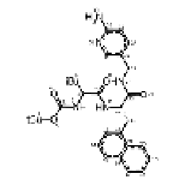 CCC(C)C(NC(=O)OC(C)(C)C)C(=O)N[C@@H](Cc1cccc2ccccc12)C(=O)NCc1ccc(N)nc1